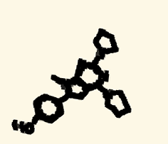 Cn1c(-c2ccc(O)cc2)cc2c(N3CCCC3)nc(N3CCCC3)nc21